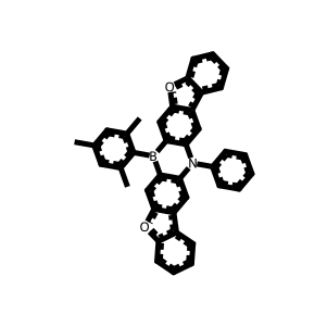 Cc1cc(C)c(B2c3cc4oc5ccccc5c4cc3N(c3ccccc3)c3cc4c(cc32)oc2ccccc24)c(C)c1